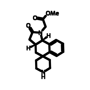 COC(=O)CN1C(=O)C[C@H]2CC3(CCNCC3)c3ccccc3[C@H]21